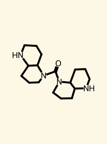 O=C(N1CCCC2NCCCC21)N1CCCC2NCCCC21